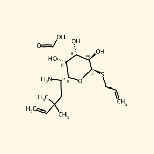 C=CCS[C@H]1O[C@H](C(N)CC(C)(C)C=C)[C@H](O)[C@H](O)[C@H]1O.O=CO